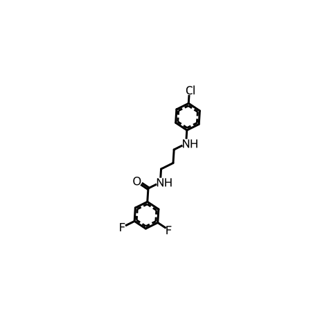 O=C(NCCCNc1ccc(Cl)cc1)c1cc(F)cc(F)c1